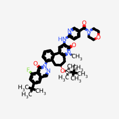 Cn1c2c(cc(Nc3ccc(C(=O)N4CCOCC4)cn3)c1=O)-c1cccc(-n3ncc4cc(C(C)(C)C)cc(F)c4c3=O)c1C[C@@H](O[Si](C)(C)C(C)(C)C)C2